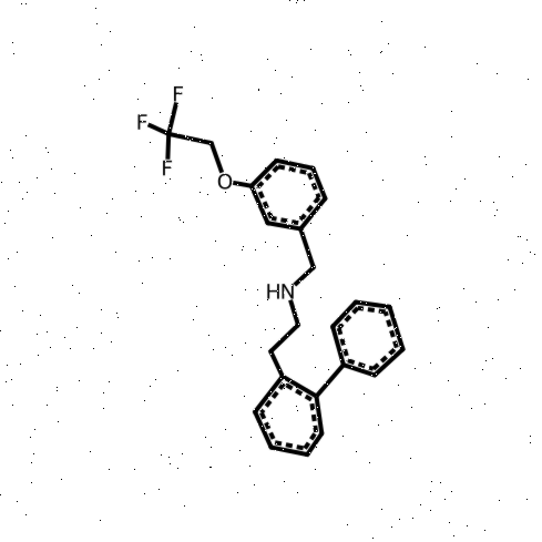 FC(F)(F)COc1cccc(CNCCc2ccccc2-c2ccccc2)c1